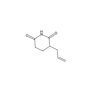 C=CCC1CCC(=O)NC1=O